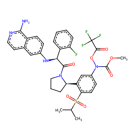 COC(=O)N(OC(=O)C(F)(F)F)c1ccc(S(=O)(=O)C(C)C)c([C@H]2CCCN2C(=O)[C@@H](Nc2ccc3c(N)nccc3c2)c2ccccc2F)c1